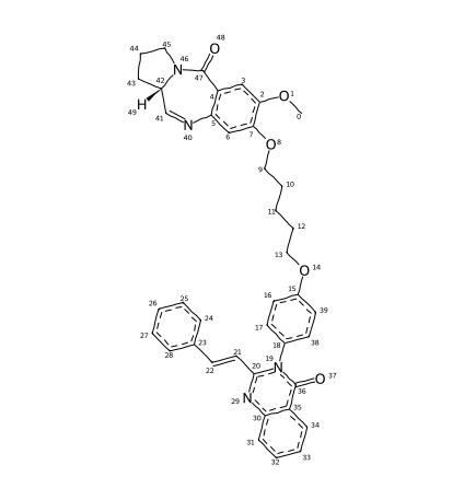 COc1cc2c(cc1OCCCCCOc1ccc(-n3c(/C=C/c4ccccc4)nc4ccccc4c3=O)cc1)N=C[C@@H]1CCCN1C2=O